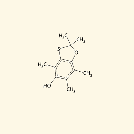 Cc1c(C)c2c(c(C)c1O)SC(C)(C)O2